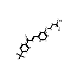 CC(C)(C)c1ccc(C(=O)C=Cc2cccc(OCCC(=O)O)c2)cc1